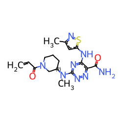 C=CC(=O)N1CCC[C@@H](N(C)c2nnc(C(N)=O)c(Nc3cc(C)ns3)n2)C1